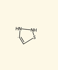 [C]1=CSNN1